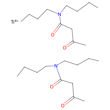 CCCCN(CCCC)C(=O)CC(C)=O.CCCCN(CCCC)C(=O)CC(C)=O.[Ti+4]